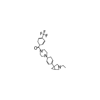 CCN1CC2CC2(C2=CCC(N3CCN(C(=O)C4C=CC(C(F)(F)F)=CC4)CC3)C=C2)C1